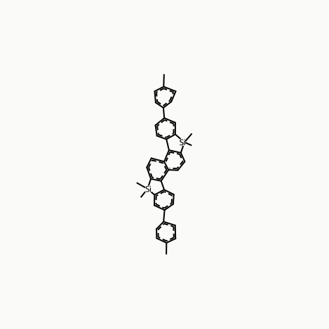 Cc1ccc(-c2ccc3c(c2)[Si](C)(C)c2ccc4c5c(ccc4c2-3)[Si](C)(C)c2cc(-c3ccc(C)cc3)ccc2-5)cc1